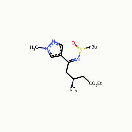 CCCC[S+]([O-])/N=C(/C[C@@H](CC(=O)OCC)C(F)(F)F)c1cnn(C)c1